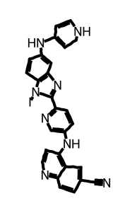 N#Cc1ccc2nccc(Nc3ccc(-c4nc5cc(NC6=CCNC=C6)ccc5n4I)nc3)c2c1